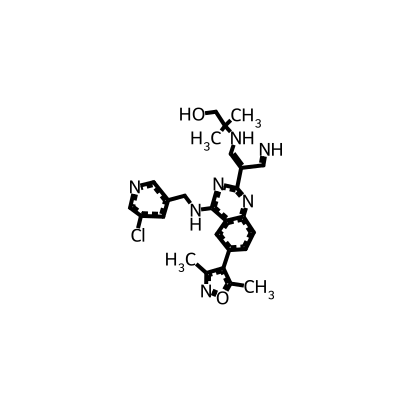 Cc1noc(C)c1-c1ccc2nc(/C(C=N)=C/NC(C)(C)CO)nc(NCc3cncc(Cl)c3)c2c1